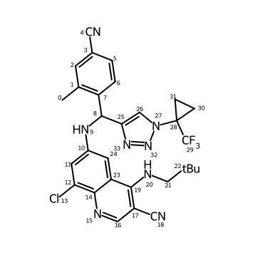 Cc1cc(C#N)ccc1C(Nc1cc(Cl)c2ncc(C#N)c(NCC(C)(C)C)c2c1)c1cn(C2(C(F)(F)F)CC2)nn1